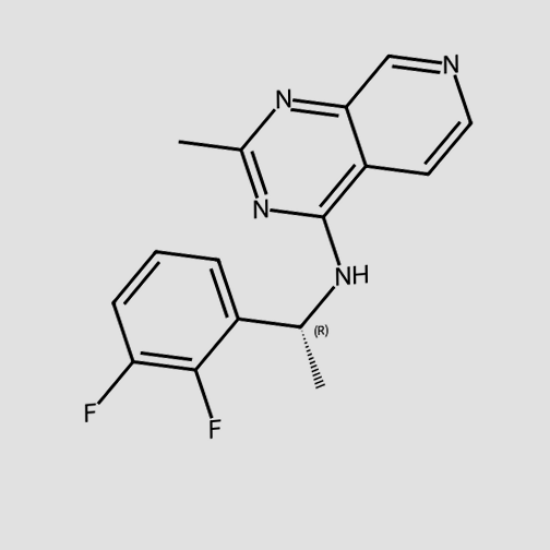 Cc1nc(N[C@H](C)c2cccc(F)c2F)c2ccncc2n1